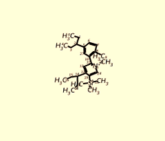 CCC(CC)c1ccc(C)c(-c2cc(C(CC)CC)c([Si](C)(C)C)c[n+]2C)c1